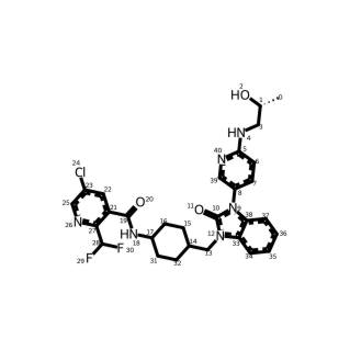 C[C@@H](O)CNc1ccc(-n2c(=O)n(CC3CCC(NC(=O)c4cc(Cl)cnc4C(F)F)CC3)c3ccccc32)cn1